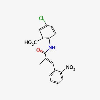 C/C(=C\c1ccccc1[N+](=O)[O-])C(=O)Nc1ccc(Cl)cc1C(=O)O